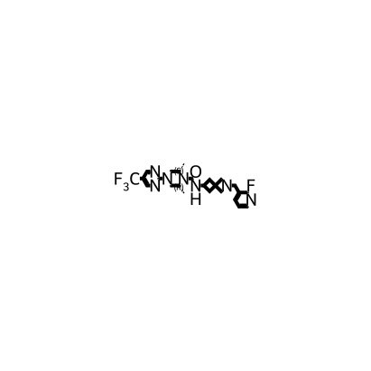 C[C@@H]1CN(c2ncc(C(F)(F)F)cn2)C[C@H](C)N1C(=O)NC1CC2(C1)CN(Cc1cccnc1F)C2